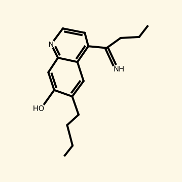 CCCCc1cc2c(C(=N)CCC)ccnc2cc1O